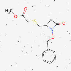 COC(=O)CSCC1CC(=O)N1OCc1ccccc1